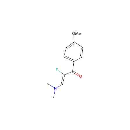 COc1ccc(C(=O)/C(F)=C/N(C)C)cc1